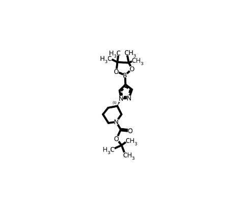 CC(C)(C)OC(=O)N1CCC[C@H](n2cc(B3OC(C)(C)C(C)(C)O3)cn2)C1